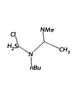 CCCCN([SiH2]Cl)C(C)NC